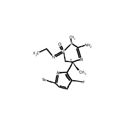 CN1C(N)=N[C@](C)(c2nc(Br)ccc2F)CS1(=O)=NCC(F)(F)F